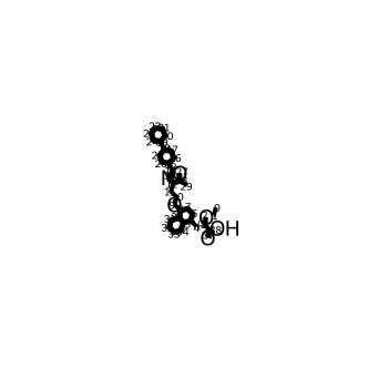 CCO[C@@H](Cc1ccc(OCCc2nc(-c3ccc(-c4ccccc4)cc3)oc2C)c2ccccc12)C(=O)O